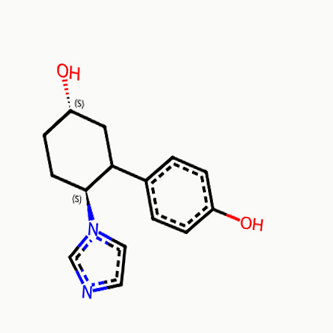 Oc1ccc(C2C[C@@H](O)CC[C@@H]2n2ccnc2)cc1